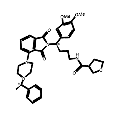 COc1ccc([C@@H](CCCNC(=O)C2CCOC2)N2C(=O)c3cccc(N4CCN([C@H](C)c5ccccc5)CC4)c3C2=O)cc1OC